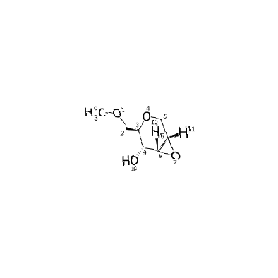 COC[C@H]1OC[C@@H]2O[C@@H]2[C@@H]1O